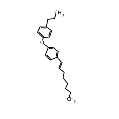 CCCCCCC=Cc1ccc(Oc2ccc(CCC)cc2)cc1